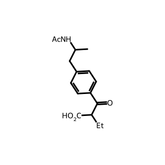 CCC(C(=O)O)C(=O)c1ccc(CC(C)NC(C)=O)cc1